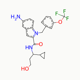 Nc1ccc2c(c1)cc(C(=O)NC(CCO)C1CC1)n2Cc1cccc(OC(F)(F)F)c1